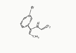 C=CN/C(=C\C)c1cccc(C(C)C)c1